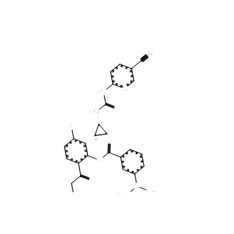 CCC(=O)c1ccc(F)c([C@H]2C[C@H]2NC(=O)Nc2ccc(C#N)cn2)c1OC(=O)c1cccc(N(C)C)c1